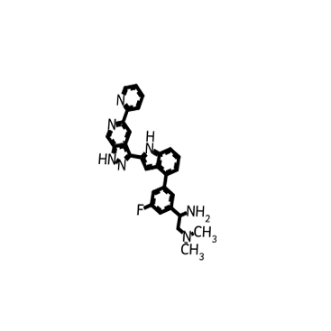 CN(C)CC(N)c1cc(F)cc(-c2cccc3[nH]c(-c4n[nH]c5cnc(-c6ccccn6)cc45)cc23)c1